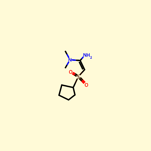 CN(C)C(N)=CS(=O)(=O)C1CCCC1